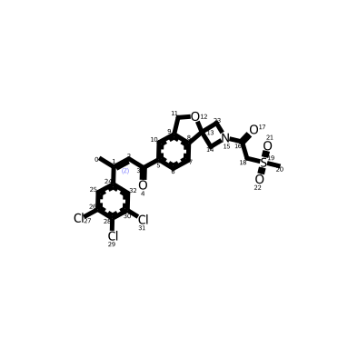 C/C(=C/C(=O)c1ccc2c(c1)COC21CN(C(=O)CS(C)(=O)=O)C1)c1cc(Cl)c(Cl)c(Cl)c1